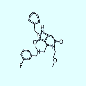 COCCn1c(CN(C)Cc2cccc(F)c2)c2c(=O)n(Cc3ccccc3)[nH]c2cc1=O